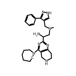 CN(Cc1c[nH]nc1-c1ccccc1)CC(N)c1nc2c(c(N3CCCCCC3)n1)CNCC2